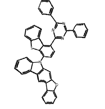 c1ccc(-c2nc(-c3ccccc3)nc(-c3ccc(-n4c5ccccc5c5cc6c(cc54)oc4ccccc46)c4sc5ccccc5c34)n2)cc1